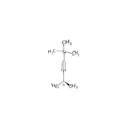 C[C@@H](O)C#C[Si](C)(C)C